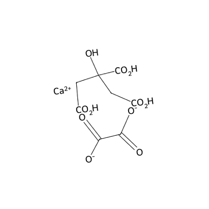 O=C(O)CC(O)(CC(=O)O)C(=O)O.O=C([O-])C(=O)[O-].[Ca+2]